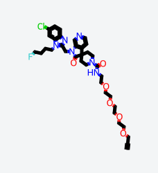 C#CCOCCOCCOCCOCCNC(=O)N1CCC2(CC1)C(=O)N(Cc1nc3ccc(Cl)cc3n1CCCCF)c1cnccc12